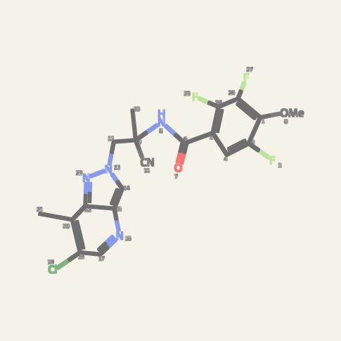 COc1c(F)cc(C(=O)NC(C)(C#N)Cn2cc3ncc(Cl)c(C)c3n2)c(F)c1F